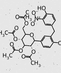 CC(=O)OCC1OC(c2ccc(Cl)c(Cc3ccc(O)c([N+](=O)[O-])c3)c2)[C@H](OC(C)=O)C(OC(C)=O)[C@@H]1OC(C)=O